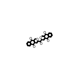 O=C1C2=COC(C(=O)C3=CC4=C(CO3)C(=O)c3ccccc3C4=O)C=C2C(=O)c2ccccc21